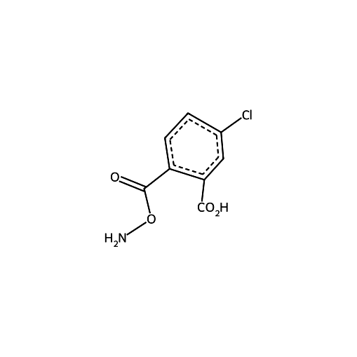 NOC(=O)c1ccc(Cl)cc1C(=O)O